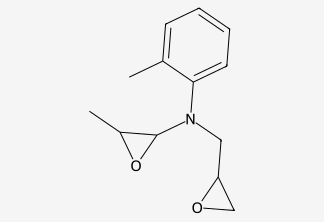 Cc1ccccc1N(CC1CO1)C1OC1C